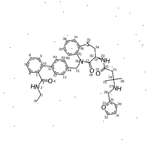 CCNC(=O)c1ccccc1-c1ccc(CN2C(=O)[C@H](NC(=O)CC(C)(C)NCc3ccco3)CSc3ccccc32)cc1